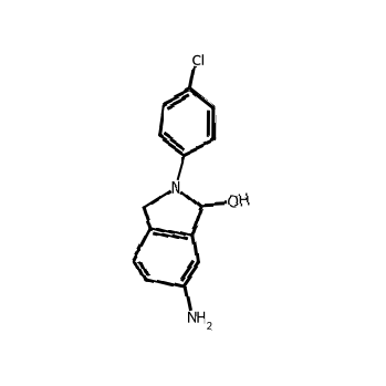 Nc1ccc2c(c1)C(O)N(c1ccc(Cl)cc1)C2